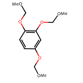 COCOc1[c]cc(OCOC)c(OCOC)c1